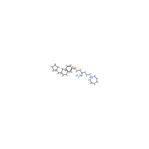 NC(CCCN1CCCCCC1)CCOc1ccc2c(c1)CCC(CN1CCCC1)C2